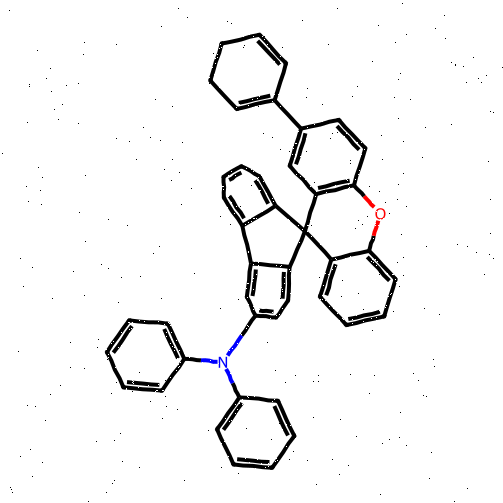 C1=CC(c2ccc3c(c2)C2(c4ccccc4O3)c3ccccc3-c3cc(N(c4ccccc4)c4ccccc4)ccc32)=CCC1